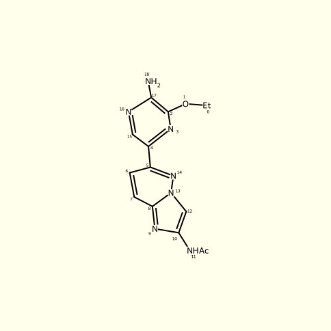 CCOc1nc(-c2ccc3nc(NC(C)=O)cn3n2)cnc1N